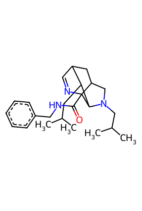 CC(C)CC1C2C=NC3(C(=O)NCc4ccccc4)C(C2)CN(CC(C)C)C13